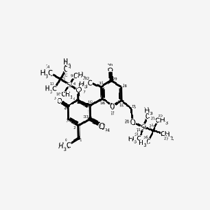 CCC1=CC(=O)C(O[Si](C)(C)C(C)(C)C)=C(c2oc(CO[Si](C)(C)C(C)(C)C)cc(=O)c2C)C1=O